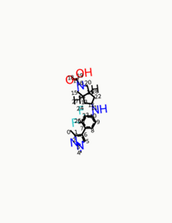 Cc1nn(C)cc1-c1ccc(N[C@H]2C[C@@H]3CN(C(=O)O)C[C@@H]3C2)c(F)c1F